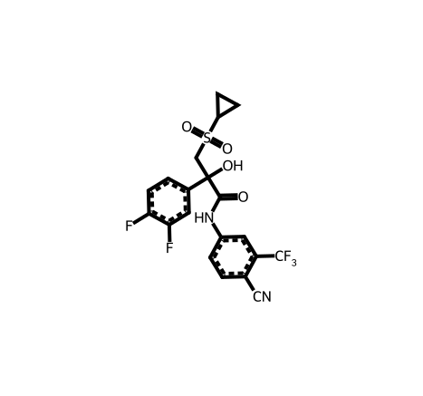 N#Cc1ccc(NC(=O)C(O)(CS(=O)(=O)C2CC2)c2ccc(F)c(F)c2)cc1C(F)(F)F